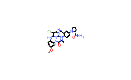 C=CC(=O)Nc1cc(OC)ccc1Nc1nc(Nc2ccc(N3CCC[C@H]3C(N)=O)cc2C#N)ncc1Cl